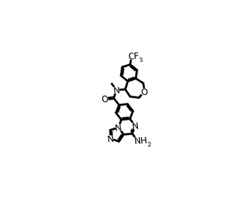 CN(C(=O)c1ccc2nc(N)c3cncn3c2c1)C1CCOCc2cc(C(F)(F)F)ccc21